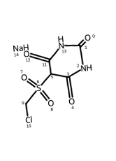 O=C1NC(=O)C(S(=O)(=O)CCl)C(=O)N1.[NaH]